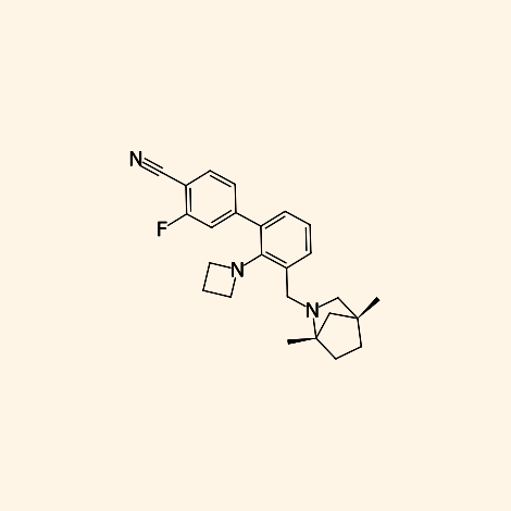 C[C@@]12CC[C@@](C)(C1)N(Cc1cccc(-c3ccc(C#N)c(F)c3)c1N1CCC1)C2